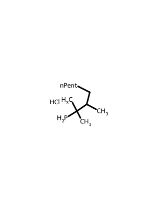 CCCCCCC(C)C(C)(C)P.Cl